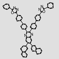 c1ccc(-c2nnc(-c3ccc(-c4ccc(-c5nc6cc(-c7ccc8ccccc8c7)c(-c7ccc8ccccc8c7)cc6nc5-c5ccc(-c6ccc(-c7nnc(-c8ccccc8)o7)cc6)cc5)cc4)cc3)o2)cc1